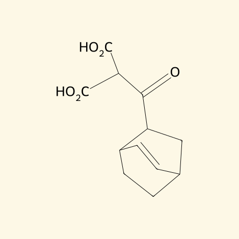 O=C(O)C(C(=O)O)C(=O)C1CC2C=CC1CC2